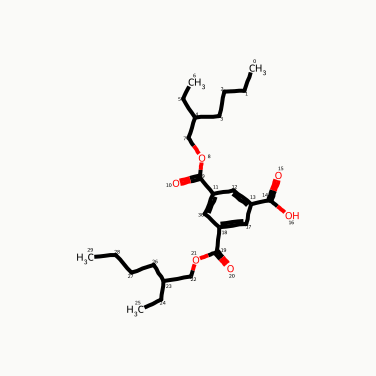 CCCCC(CC)COC(=O)c1cc(C(=O)O)cc(C(=O)OCC(CC)CCCC)c1